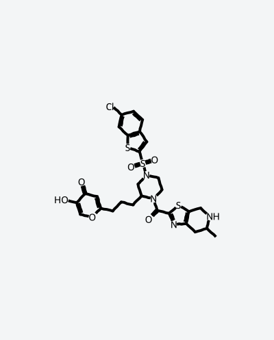 CC1Cc2nc(C(=O)N3CCN(S(=O)(=O)c4cc5ccc(Cl)cc5s4)CC3CCCc3cc(=O)c(O)co3)sc2CN1